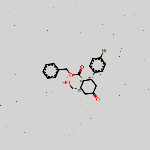 O=C1C[C@H](CO)[C@H](C(=O)OCc2ccccc2)[C@H](c2ccc(Br)cc2)C1